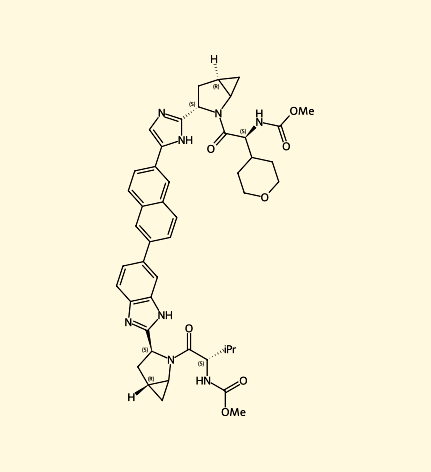 COC(=O)N[C@H](C(=O)N1C2C[C@@H]2C[C@H]1c1nc2ccc(-c3ccc4cc(-c5cnc([C@@H]6C[C@H]7CC7N6C(=O)[C@@H](NC(=O)OC)C6CCOCC6)[nH]5)ccc4c3)cc2[nH]1)C(C)C